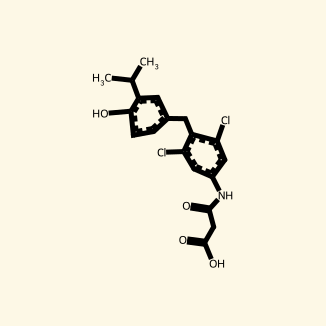 CC(C)c1cc(Cc2c(Cl)cc(NC(=O)CC(=O)O)cc2Cl)ccc1O